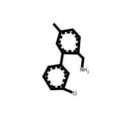 Cc1ccc(CN)c(-c2cccc(Cl)c2)c1